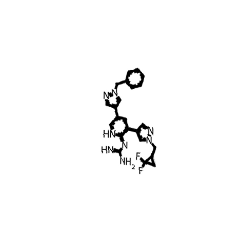 N=C(N)/N=c1\[nH]cc(-c2cnn(Cc3ccccc3)c2)cc1-c1cnn(CC2CC2(F)F)c1